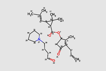 C=CCC1=C(C)C(OC(=O)C2C(C=C(C)C)C2(C)C)CC1=O.O=CCCCN1CCCCC1